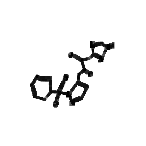 O=C(Cc1ccnn1S(=O)(=O)C1C=CC=CC1)C(=O)c1nc[nH]n1